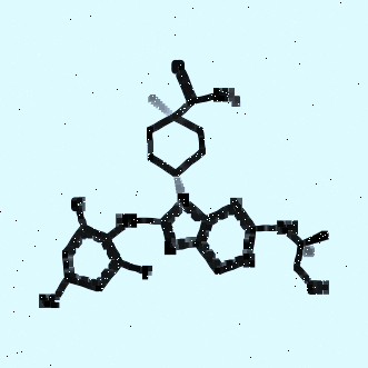 C[C@@H](CO)Nc1ncc2nc(Nc3c(F)cc(C#N)cc3Cl)n([C@H]3CC[C@](C)(C(N)=O)CC3)c2n1